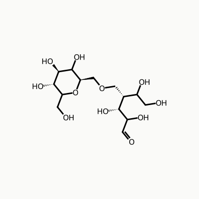 O=CC(O)[C@H](O)[C@H](COC[C@H]1OC(CO)[C@H](O)[C@@H](O)C1O)C(O)CO